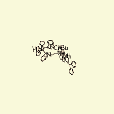 Cn1cc(C2=C(c3cn(CCCNC(=O)[C@H](COC(C)(C)C)NC(=O)OCC4c5ccccc5-c5ccccc54)c4ccccc34)C(=O)NC2=O)c2ccccc21